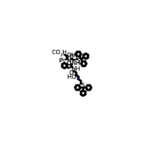 CC(C)[C@@H](NC(=O)[C@@H](CSC(c1ccccc1)(c1ccccc1)c1ccccc1)NC(=O)[C@@H](Cc1ccccc1)NC(=O)C[C@H](O)/C=C/CCSC(c1ccccc1)(c1ccccc1)c1ccccc1)[C@@H](O)CC(=O)O